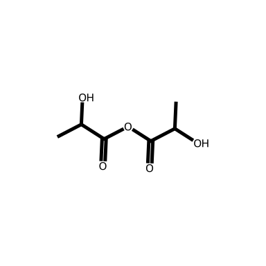 CC(O)C(=O)OC(=O)C(C)O